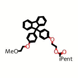 CCCC(C)C(=O)OCCOc1ccc(C2(c3ccc(OCCOC)cc3)c3ccccc3-c3ccccc32)cc1